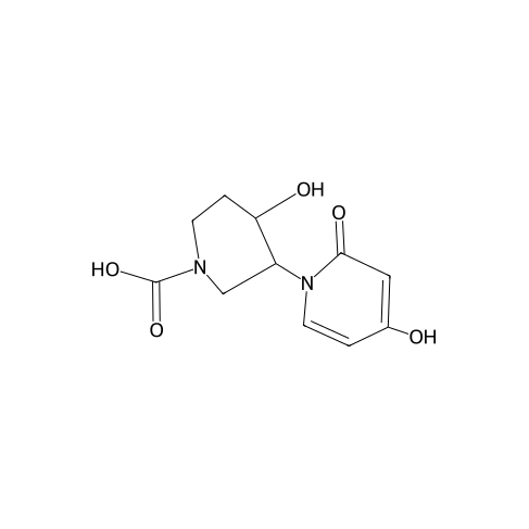 O=C(O)N1CCC(O)C(n2ccc(O)cc2=O)C1